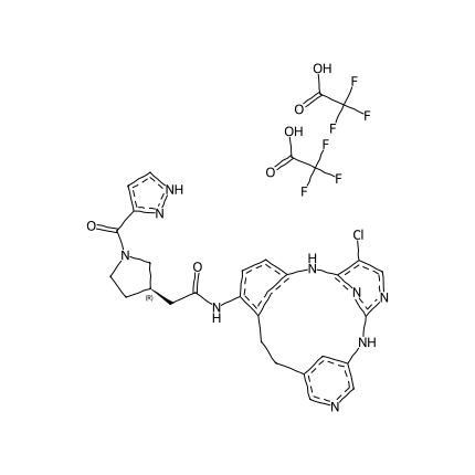 O=C(C[C@H]1CCN(C(=O)c2cc[nH]n2)C1)Nc1ccc2cc1CCc1cncc(c1)Nc1ncc(Cl)c(n1)N2.O=C(O)C(F)(F)F.O=C(O)C(F)(F)F